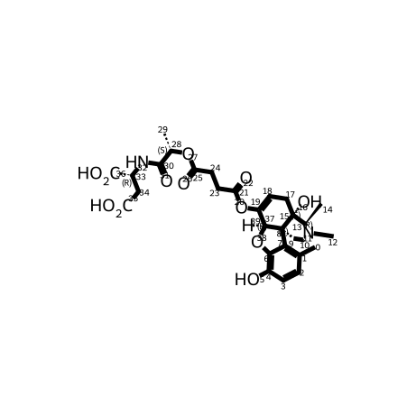 Cc1ccc(O)c2c1[C@]13CCN(C)[C@H](C)[C@]1(O)CC=C(OC(=O)CCC(=O)O[C@@H](C)C(=O)N[C@H](CC(=O)O)C(=O)O)[C@@H]3O2